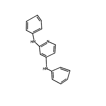 c1ccc(Nc2ccnc(Nc3ccccc3)c2)cc1